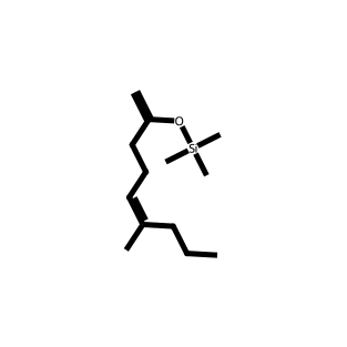 C=C(CCC=C(C)CCC)O[Si](C)(C)C